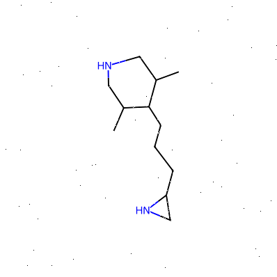 CC1CNCC(C)C1CCCC1CN1